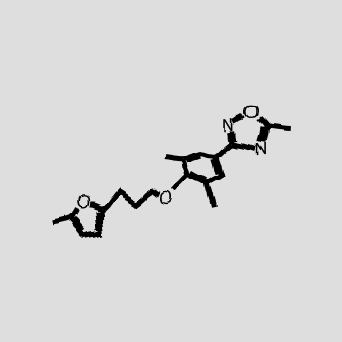 Cc1ccc(CCCOc2c(C)cc(-c3noc(C)n3)cc2C)o1